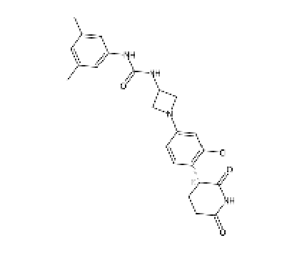 Cc1cc(C)cc(NC(=O)NC2CN(c3ccc([C@H]4CCC(=O)NC4=O)c(Cl)c3)C2)c1